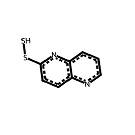 SSc1ccc2ncccc2n1